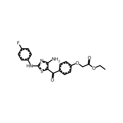 CCOC(=O)COc1ccc(C(=O)c2sc(Nc3ccc(F)cc3)nc2N)cc1